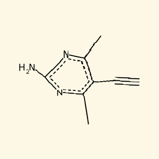 C#Cc1c(C)nc(N)nc1C